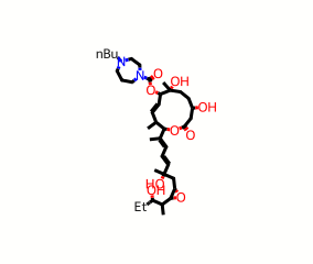 CCCCN1CCCN(C(=O)OC2/C=C/C(C)C(/C(C)=C/C=C/C(C)(O)CC3OC3C(C)C(O)CC)OC(=O)CC(O)CCC2(C)O)CC1